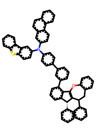 c1ccc(C2Cc3ccccc3OC3=C2[C@H](c2ccccc2)c2cccc(-c4cccc(-c5ccc(N(c6ccc7c(ccc8ccccc87)c6)c6ccc7sc8ccccc8c7c6)cc5)c4)c23)cc1